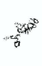 CCC(C)C(NC(=O)[C@H]1CCCCN1C)C(=O)N(C)C(CC(OC)c1nc(C(=O)NC(Cc2ccccc2)CC(C)C(=O)O)cs1)C(C)C